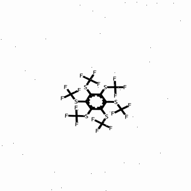 FC(F)(F)Sc1c(SC(F)(F)F)c(SC(F)(F)F)c(SC(F)(F)F)c(SC(F)(F)F)c1SC(F)(F)F